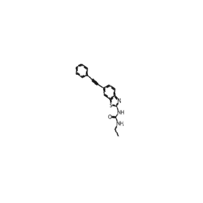 CCNC(=O)Nc1nc2ccc(C#Cc3ccccc3)cc2s1